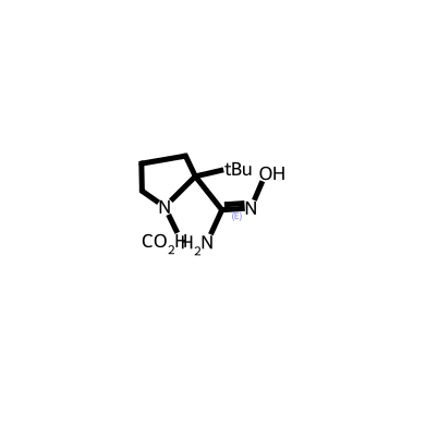 CC(C)(C)C1(/C(N)=N\O)CCCN1C(=O)O